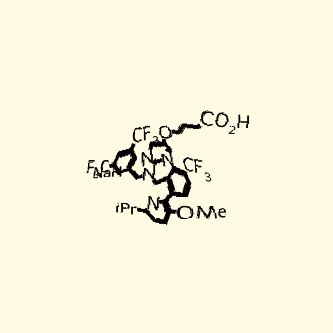 COc1ccc(C(C)C)nc1-c1ccc(C(F)(F)F)cc1CN(Cc1cc(C(F)(F)F)cc(C(F)(F)F)c1)c1ncc(OCCCC(=O)O)cn1.[NaH]